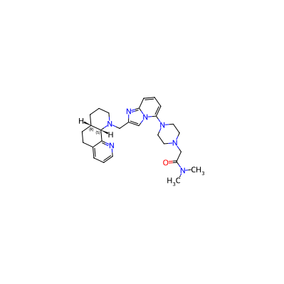 CN(C)C(=O)CN1CCN(c2cccc3nc(CN4CCC[C@H]5CCc6cccnc6[C@H]54)cn23)CC1